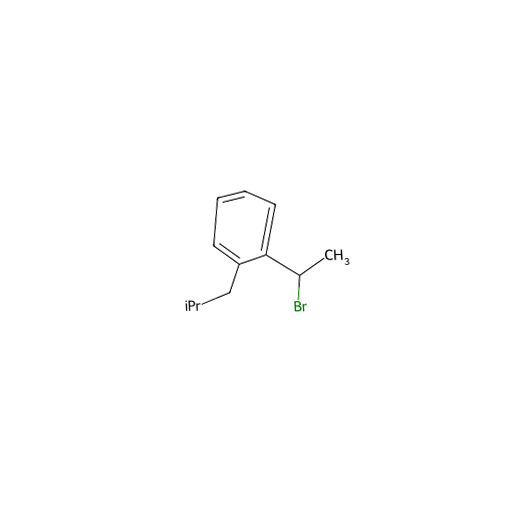 CC(C)Cc1ccccc1C(C)Br